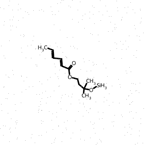 CC=CC=CC(=O)OCCC(C)(C)O[SiH3]